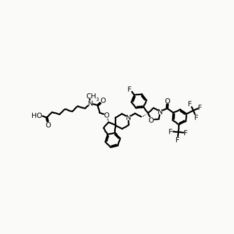 CN(CCCCCCC(=O)O)C(=O)CO[C@H]1Cc2ccccc2C12CCN(CC[C@]1(c3ccc(F)cc3)CN(C(=O)c3cc(C(F)(F)F)cc(C(F)(F)F)c3)CO1)CC2